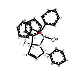 CCCCN(P(c1ccccc1)c1ccccc1)P1[C@H](c2ccccc2)C=C[C@@]1(C)c1ccccc1